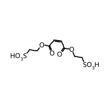 O=C(/C=C\C(=O)OCCS(=O)(=O)O)OCCS(=O)(=O)O